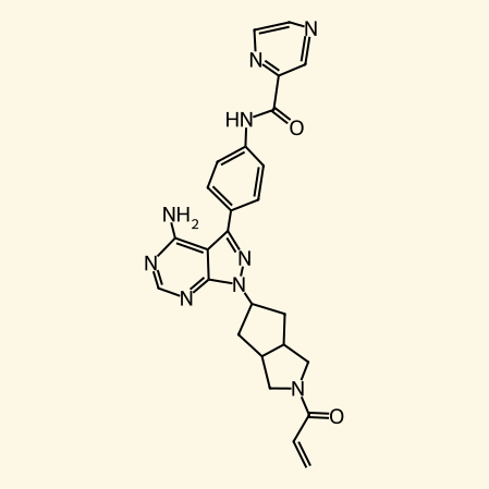 C=CC(=O)N1CC2CC(n3nc(-c4ccc(NC(=O)c5cnccn5)cc4)c4c(N)ncnc43)CC2C1